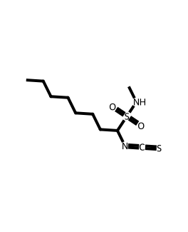 CCCCCCCC(N=C=S)S(=O)(=O)NC